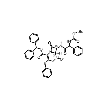 CC(C)(C)OC(=O)NC(C(=O)N[C@@H]1C(=O)N2C(C(=O)OC(c3ccccc3)c3ccccc3)=C(Sc3ccccc3)C[S+]([O-])[C@@H]12)c1ccccc1